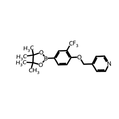 CC1(C)OB(c2ccc(OCc3ccncc3)c(C(F)(F)F)c2)OC1(C)C